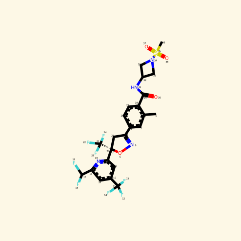 Cc1cc(C2=NO[C@](c3cc(C(F)(F)F)cc(C(F)F)n3)(C(F)(F)F)C2)ccc1C(=O)NC1CN(S(C)(=O)=O)C1